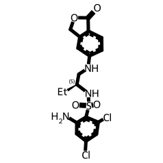 CC[C@@H](CNc1ccc2c(c1)COC2=O)NS(=O)(=O)c1c(N)cc(Cl)cc1Cl